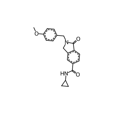 COc1ccc(CN2Cc3cc(C(=O)NC4CC4)ccc3C2=O)cc1